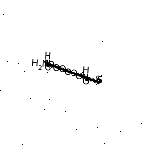 NNC(=O)OCCOCCOCCOCCOCCOCCNC(=O)CCCCC1CCSS1